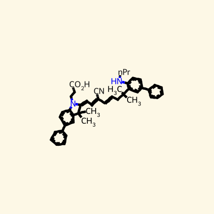 CCCNc1ccc(-c2ccccc2)cc1C(C)(C)C/C=C/C(C#N)=C/C=C1/N(CCC(=O)O)c2ccc(-c3ccccc3)cc2C1(C)C